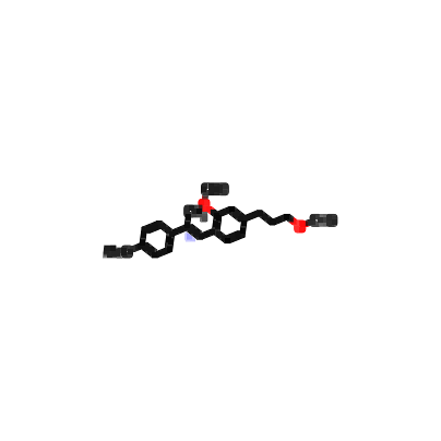 COc1ccc(/C(C)=C/c2ccc(CCCOC=O)cc2OC=O)cc1